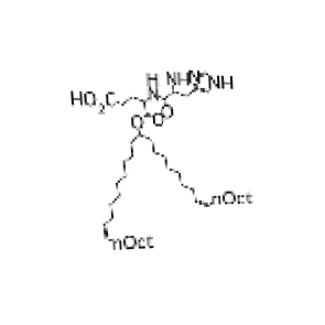 CCCCCCCC/C=C\CCCCCCCCC(CCCCCCC/C=C\CCCCCCCC)OC(=O)C(CCC(=O)O)NC(=O)C(N)Cc1c[nH]cn1